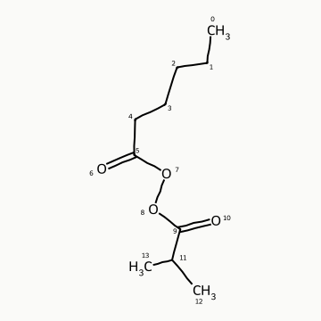 CCCCCC(=O)OOC(=O)C(C)C